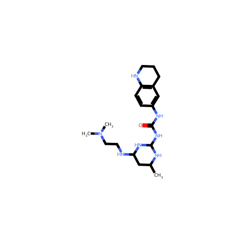 CC1CC(NCCN(C)C)NC(NC(=O)Nc2ccc3c(c2)CCCN3)N1